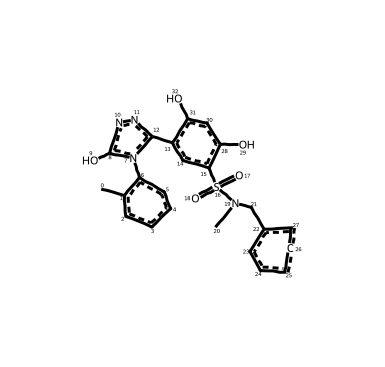 Cc1ccccc1-n1c(O)nnc1-c1cc(S(=O)(=O)N(C)Cc2ccccc2)c(O)cc1O